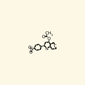 CC(=O)Oc1cc(-c2ccc([N+](=O)[O-])cc2)nc2ccccc12